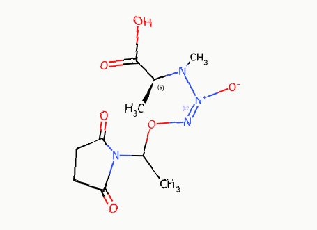 CC(O/N=[N+](/[O-])N(C)[C@@H](C)C(=O)O)N1C(=O)CCC1=O